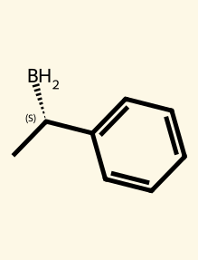 B[C@@H](C)c1ccccc1